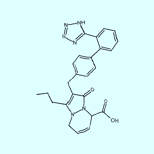 CCCc1c(Cc2ccc(-c3ccccc3-c3nnn[nH]3)cc2)c(=O)n2n1CC=CC2C(=O)O